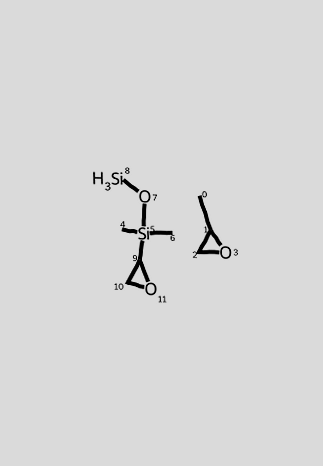 CC1CO1.C[Si](C)(O[SiH3])C1CO1